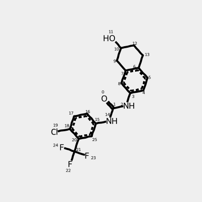 O=C(Nc1ccc2c(c1)CC(O)CC2)Nc1ccc(Cl)c(C(F)(F)F)c1